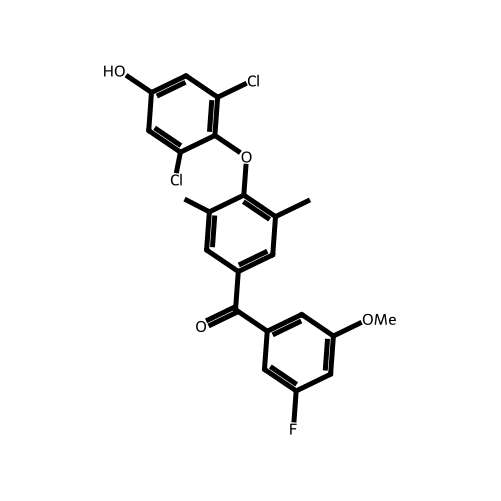 COc1cc(F)cc(C(=O)c2cc(C)c(Oc3c(Cl)cc(O)cc3Cl)c(C)c2)c1